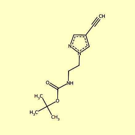 C#Cc1cnn(CCNC(=O)OC(C)(C)C)c1